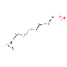 OCCCCCCCC1CC1